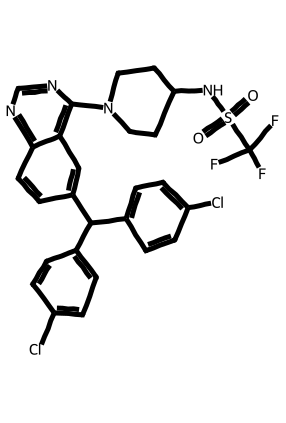 O=S(=O)(NC1CCN(c2ncnc3ccc(C(c4ccc(Cl)cc4)c4ccc(Cl)cc4)cc23)CC1)C(F)(F)F